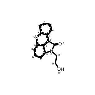 O=C1c2c3ccccc3nc3cccc(c23)N1CCO